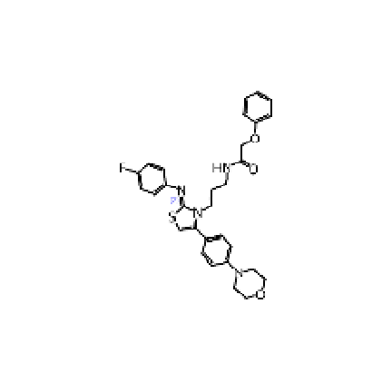 O=C(COc1ccccc1)NCCCn1c(-c2ccc(N3CCOCC3)cc2)cs/c1=N\c1ccc(F)cc1